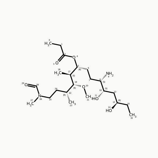 CCC(=O)O[C@H](CC[C@H](N)[C@@H](O)C[C@H](O)CC)[C@H](C)[C@H](OC)[C@H](C)CCN(C)C=O